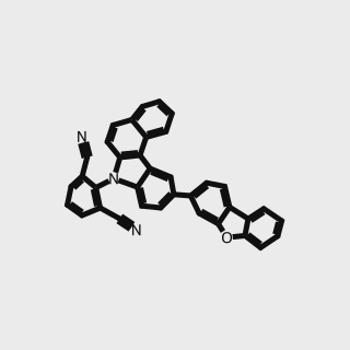 N#Cc1cccc(C#N)c1-n1c2ccc(-c3ccc4c(c3)oc3ccccc34)cc2c2c3ccccc3ccc21